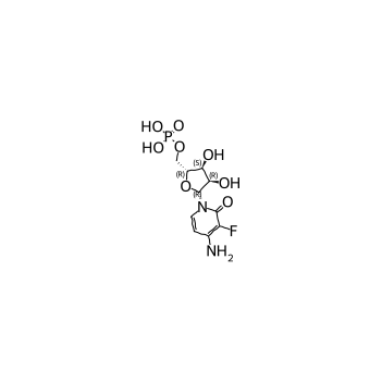 Nc1ccn([C@@H]2O[C@H](COP(=O)(O)O)[C@@H](O)[C@H]2O)c(=O)c1F